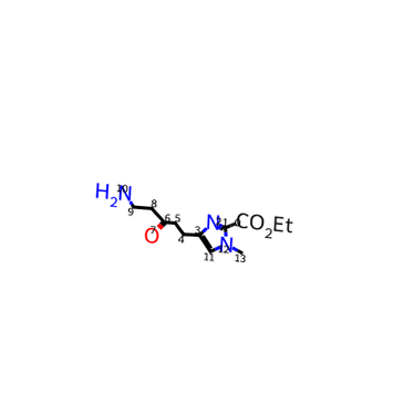 CCOC(=O)c1nc(CCC(=O)CCN)cn1C